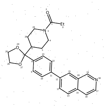 CCC(=O)N1CCC(C2(c3ccc(-c4ccc5ccncc5c4)cc3)OCCO2)CC1